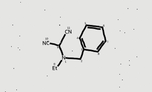 CCN(Cc1ccccc1)C(C#N)C#N